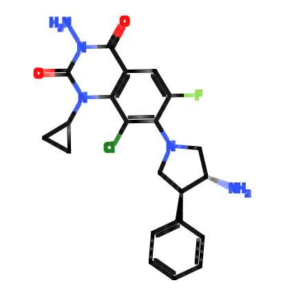 N[C@H]1CN(c2c(F)cc3c(=O)n(N)c(=O)n(C4CC4)c3c2Cl)C[C@@H]1c1ccccc1